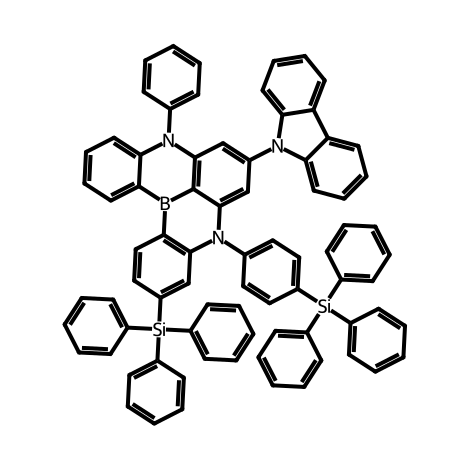 c1ccc(N2c3ccccc3B3c4ccc([Si](c5ccccc5)(c5ccccc5)c5ccccc5)cc4N(c4ccc([Si](c5ccccc5)(c5ccccc5)c5ccccc5)cc4)c4cc(-n5c6ccccc6c6ccccc65)cc2c43)cc1